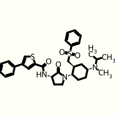 CC(C)N(C)[C@@H]1CC[C@H](N2CC[C@H](NC(=O)c3cc(-c4ccccc4)cs3)C2=O)[C@@H](CS(=O)(=O)c2ccccc2)C1